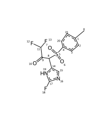 Cc1ccc(S(=O)(=O)C(C(=O)C(F)F)c2cnc(F)[nH]2)cc1